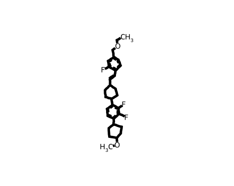 CCOCc1ccc(/C=C/C2CCC(c3ccc(C4CCC(OC)CC4)c(F)c3F)CC2)c(F)c1